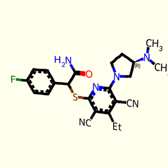 CCc1c(C#N)c(SC(C(N)=O)c2ccc(F)cc2)nc(N2CC[C@@H](N(C)C)C2)c1C#N